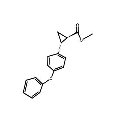 COC(=O)[C@@H]1C[C@H]1c1ccc(Oc2ccccc2)cc1